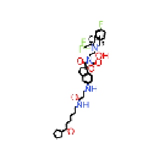 C[C@H](N(Cc1ccc(F)cc1)C(O)CN1C(=O)O[C@@]2(CCc3cc(NCCC(=O)NCCCCCC(=O)C4CCCC4)ccc32)C1=O)C(F)(F)F